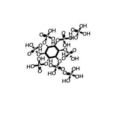 O=P(O)(O)O.O=P(O)(O)O.O=P(O)(O)O[C@H]1[C@H](OP(=O)(O)O)[C@@H](OP(=O)(O)O)[C@H](OP(=O)(O)O)[C@@H](OP(=O)(O)O)[C@H]1OP(=O)(O)O